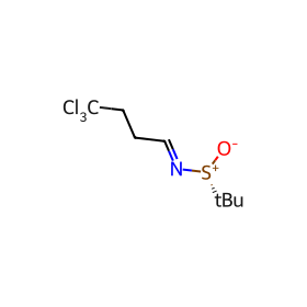 CC(C)(C)[S@@+]([O-])/N=C/CCC(Cl)(Cl)Cl